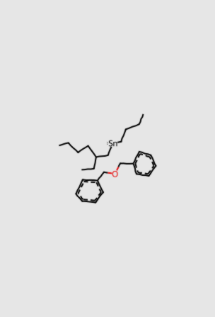 CCC[CH2][Sn][CH2]C(CC)CCCC.c1ccc(COCc2ccccc2)cc1